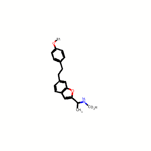 CCOc1ccc(CCc2ccc3cc(C(C)NC(=O)O)oc3c2)cc1